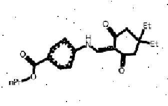 CCCOC(=O)c1ccc(NC=C2C(=O)CC(CC)(CC)CC2=O)cc1